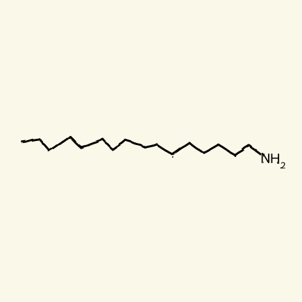 CCCCCCCCCC[CH]CCCCCN